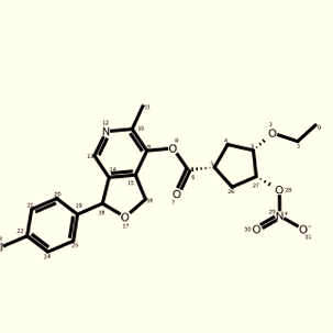 CCO[C@H]1C[C@@H](C(=O)Oc2c(C)ncc3c2COC3c2ccc(Cl)cc2)C[C@H]1O[N+](=O)[O-]